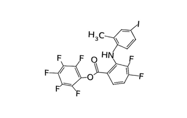 Cc1cc(I)ccc1Nc1c(C(=O)Oc2c(F)c(F)c(F)c(F)c2F)ccc(F)c1F